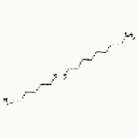 CCCCCCCCCSSCCCCCC